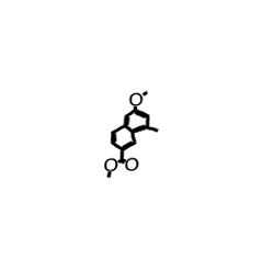 COC(=O)c1ccc2cc(OC)cc(C)c2c1